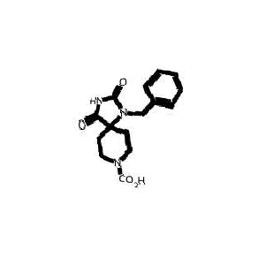 O=C(O)N1CCC2(CC1)C(=O)NC(=O)N2Cc1ccccc1